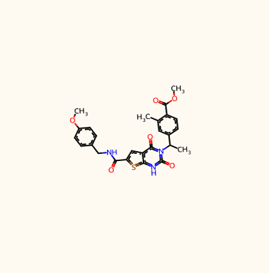 COC(=O)c1ccc(C(C)n2c(=O)[nH]c3sc(C(=O)NCc4ccc(OC)cc4)cc3c2=O)cc1C